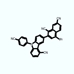 CC(C)c1cc(-c2ccc3c(c2)c2c(C#N)cccc2n3-c2ccc(C#N)cc2)c(C#N)c2cc(C#N)ccc12